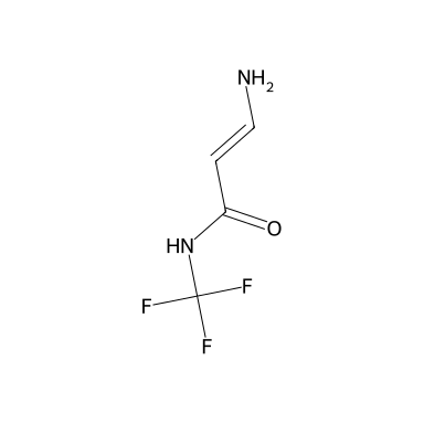 N/C=C/C(=O)NC(F)(F)F